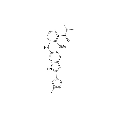 COc1c(Nc2cc3[nH]c(-c4cnn(C)c4)cc3cn2)cccc1C(=O)N(C)C